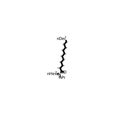 CCCCCCCCCCCCCCCCCCCCC(=O)N(CCC)CCCCCC